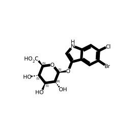 O=C(O)[C@H]1O[C@@H](Oc2c[nH]c3cc(Cl)c(Br)cc23)[C@H](O)[C@@H](O)[C@@H]1O